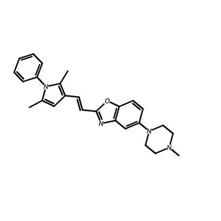 Cc1cc(/C=C/c2nc3cc(N4CCN(C)CC4)ccc3o2)c(C)n1-c1ccccc1